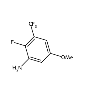 COc1cc(N)c(F)c(C(F)(F)F)c1